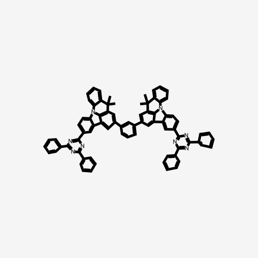 CC1(C)c2ccccc2-n2c3ccc(-c4nc(-c5ccccc5)nc(-c5ccccc5)n4)cc3c3cc(-c4cccc(-c5cc6c7c(c5)c5cc(-c8nc(-c9ccccc9)nc(-c9ccccc9)n8)ccc5n7-c5ccccc5C6(C)C)c4)cc1c32